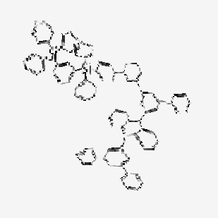 c1ccc(-c2cc(-c3ccccc3)cc(-c3c4ccccc4c(-c4cc(-c5ccccc5)cc(-c5cccc(-c6ccc([Si](c7ccccc7)(c7ccccc7)c7cccc([Si](c8ccccc8)(c8ccccc8)c8ccccc8)c7)cc6)c5)c4)c4ccccc34)c2)cc1